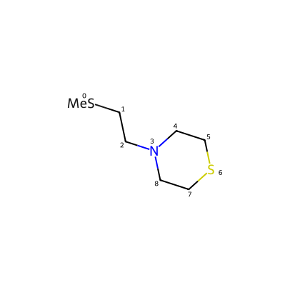 CSCCN1CCSCC1